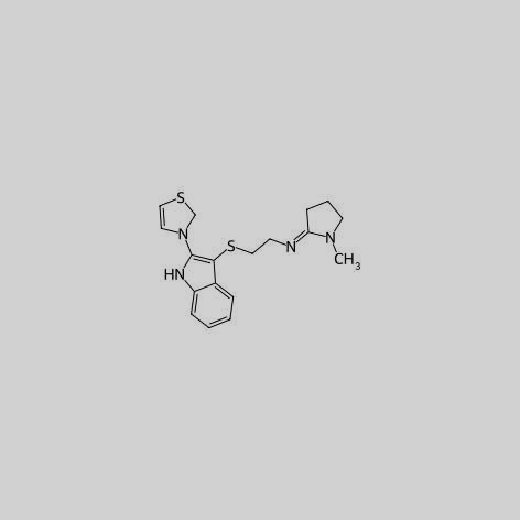 CN1CCCC1=NCCSc1c(N2C=CSC2)[nH]c2ccccc12